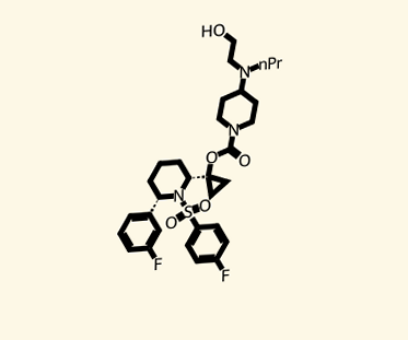 CCCN(CCO)C1CCN(C(=O)OC2([C@H]3CCC[C@@H](c4cccc(F)c4)N3S(=O)(=O)c3ccc(F)cc3)CC2)CC1